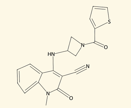 Cn1c(=O)c(C#N)c(NC2CN(C(=O)c3cccs3)C2)c2ccccc21